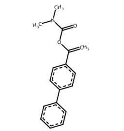 C=C(OC(=O)N(C)C)c1ccc(-c2ccccc2)cc1